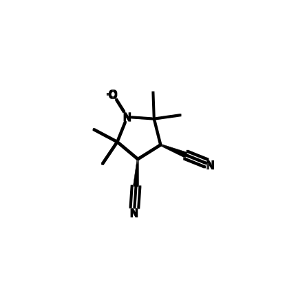 CC1(C)[C@H](C#N)[C@H](C#N)C(C)(C)N1[O]